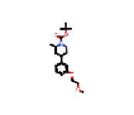 COCCOc1cccc(C2CCN(C(=O)OC(C)(C)C)C(C)C2)c1